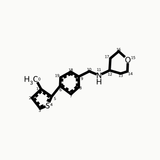 Cc1ccsc1-c1ccc(CNC2CCOCC2)cc1